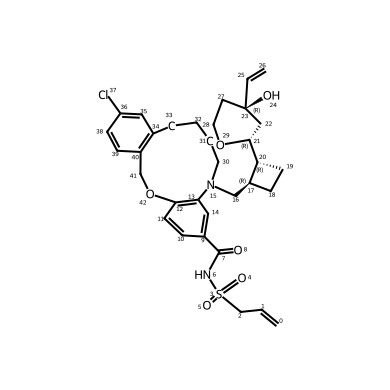 C=CCS(=O)(=O)NC(=O)c1ccc2c(c1)N(C[C@@H]1CC[C@H]1[C@H]1C[C@@](O)(C=C)CCO1)CCCCc1cc(Cl)ccc1CO2